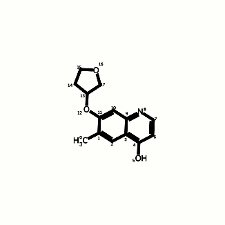 Cc1cc2c(O)ccnc2cc1OC1CCOC1